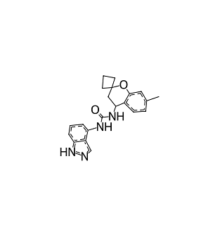 Cc1ccc2c(c1)OC1(CCC1)CC2NC(=O)Nc1cccc2[nH]ncc12